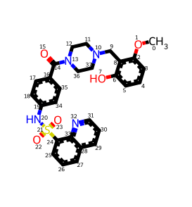 COc1cccc(O)c1CN1CCN(C(=O)c2ccc(NS(=O)(=O)c3cccc4cccnc34)cc2)CC1